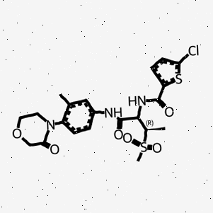 Cc1cc(NC(=O)C(NC(=O)c2ccc(Cl)s2)[C@@H](C)S(C)(=O)=O)ccc1N1CCOCC1=O